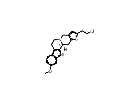 COc1ccc2c3c([nH]c2c1)[C@@H]1Cc2sc(CCCl)cc2CN1CC3